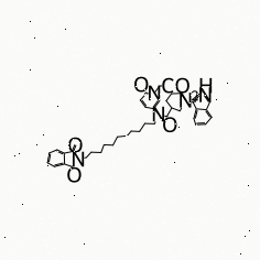 O=C(O)Cn1cc(N(CCCCCCCCCCCN2C(=O)c3ccccc3C2=O)C(=O)C2CCCN(c3cncc4ccccc34)C2)ccc1=O